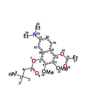 CCCC(C)(C)CC(=O)Oc1c(OC)c(OC)c(OC(=O)CC)c2ccc(N(CC)CC)cc12